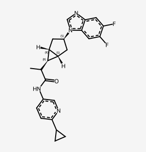 CC(C(=O)Nc1ccc(C2CC2)nc1)[C@H]1[C@@H]2C[C@@H](n3cnc4cc(F)c(F)cc43)C[C@@H]21